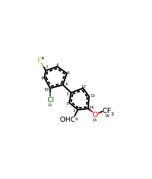 O=Cc1cc(-c2ccc(F)cc2Cl)ccc1OC(F)(F)F